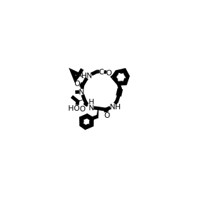 CC(O)[C@H]1C(=O)N[C@H](Cc2ccccc2)C(=O)NCC#Cc2ccccc2OCCN[C@@H](C2(C)CC2)C(=O)N1C